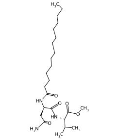 CCCCCCCCCCCCCC(=O)N[C@H](CC(N)=O)C(=O)N[C@H](C(=O)OC)C(C)C